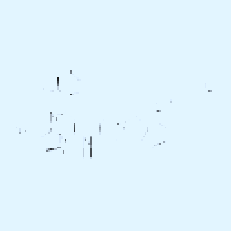 Clc1ccccc1-c1cc(NC2CCN(Cc3ccccc3SC3CCC(Cl)CC3)CC2)n2ncc(Br)c2n1